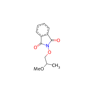 COC(C)CON1C(=O)c2ccccc2C1=O